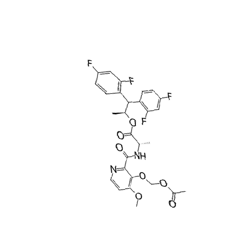 COc1ccnc(C(=O)N[C@@H](C)C(=O)O[C@@H](C)C(c2ccc(F)cc2F)c2ccc(F)cc2F)c1OCOC(C)=O